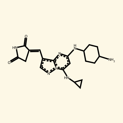 NC1CCC(Nc2cc(NC3CC3)n3ncc(/C=C4\CC(=O)NC4=O)c3n2)CC1